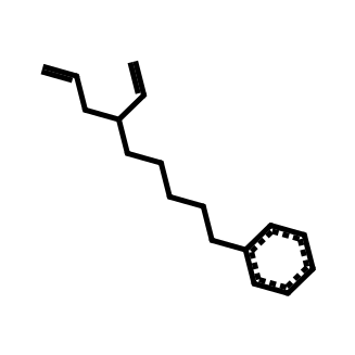 C=CCC(C=C)CCCCCc1ccccc1